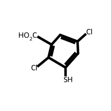 O=C(O)c1cc(Cl)cc(S)c1Cl